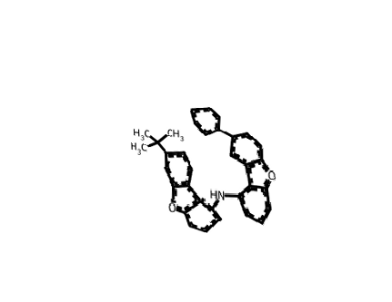 CC(C)(C)c1ccc2c(c1)oc1cccc(Nc3cccc4oc5ccc(-c6ccccc6)cc5c34)c12